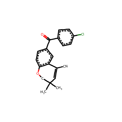 CC1(C)C=C(C#N)c2cc(C(=O)c3ccc(Cl)cc3)ccc2OC1